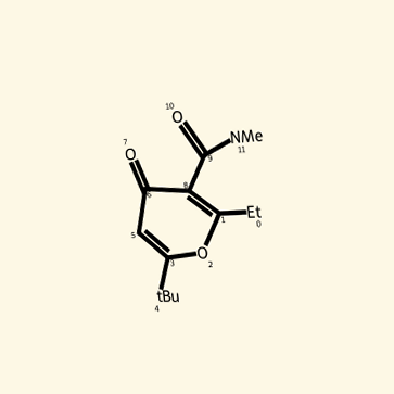 CCc1oc(C(C)(C)C)cc(=O)c1C(=O)NC